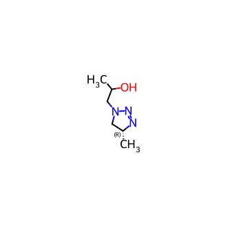 CC(O)CN1C[C@@H](C)N=N1